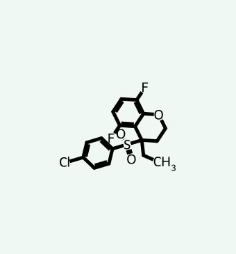 CCC1(S(=O)(=O)c2ccc(Cl)cc2)CCOc2c(F)ccc(F)c21